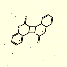 O=C1Oc2ccccc2C2C1C1C3C=CC=CC3OC(=O)C21